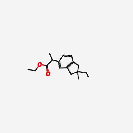 CCOC(=O)C(C)c1ccc2c(c1)CC(C)(CC)C2